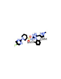 COc1cccc(OC)c1-n1c(NS(=O)(=O)[C@@H]2CCCN(c3ncc(F)cn3)C2)nnc1-c1ccn(C)n1